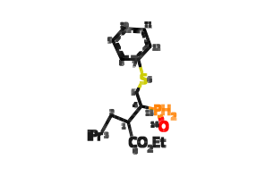 CCOC(=O)C(CC(C)C)C(CSc1ccccc1)[PH2]=O